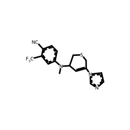 CN(c1ccc(C#N)c(C(F)(F)F)c1)C1C=C(n2ccnc2)CSC1